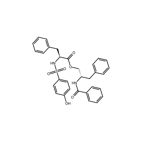 O=C(N[C@H](COC(=O)[C@H](Cc1ccccc1)NS(=O)(=O)c1ccc(O)cc1)Cc1ccccc1)c1ccccc1